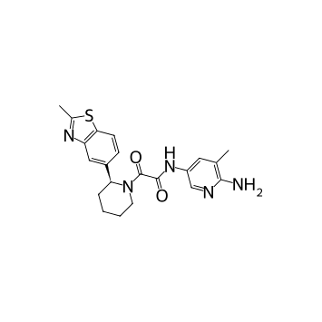 Cc1nc2cc([C@@H]3CCCCN3C(=O)C(=O)Nc3cnc(N)c(C)c3)ccc2s1